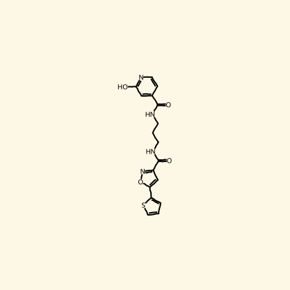 O=C(NCCCNC(=O)c1cc(-c2cccs2)on1)c1ccnc(O)c1